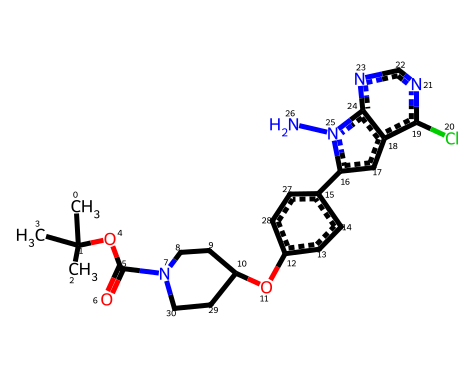 CC(C)(C)OC(=O)N1CCC(Oc2ccc(-c3cc4c(Cl)ncnc4n3N)cc2)CC1